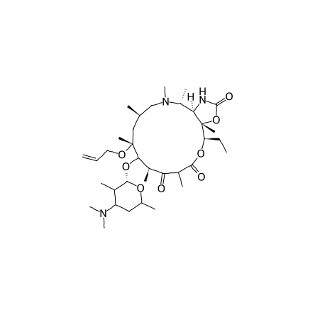 C=CCO[C@]1(C)C[C@@H](C)CN(C)[C@H](C)[C@H]2NC(=O)O[C@]2(C)[C@@H](CC)OC(=O)C(C)C(=O)[C@@H](C)C1O[C@@H]1OC(C)CC(N(C)C)C1C